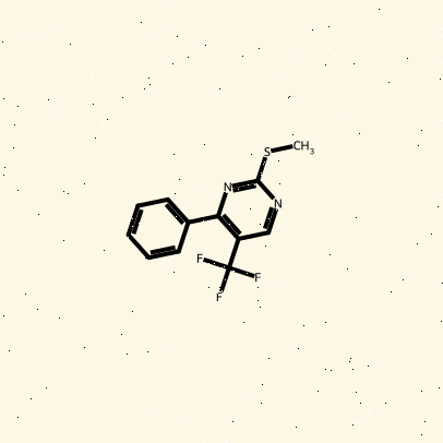 CSc1ncc(C(F)(F)F)c(-c2ccccc2)n1